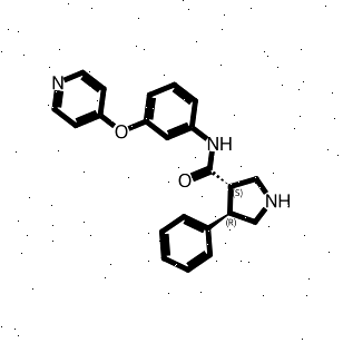 O=C(Nc1cccc(Oc2ccncc2)c1)[C@@H]1CNC[C@H]1c1ccccc1